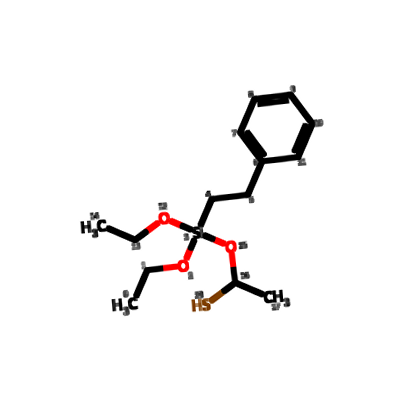 CCO[Si](CCc1ccccc1)(OCC)OC(C)S